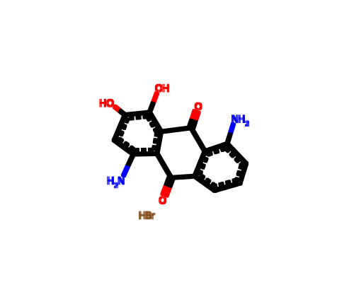 Br.Nc1cccc2c1C(=O)c1c(O)c(O)cc(N)c1C2=O